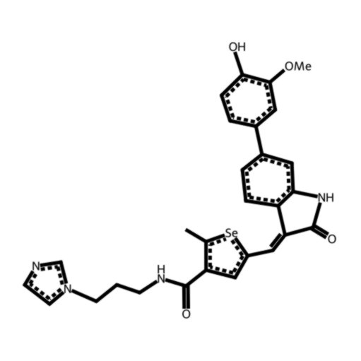 COc1cc(-c2ccc3c(c2)NC(=O)C3=Cc2cc(C(=O)NCCCn3ccnc3)c(C)[se]2)ccc1O